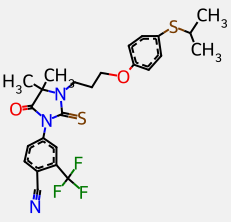 CC(C)Sc1ccc(OCCCN2C(=S)N(c3ccc(C#N)c(C(F)(F)F)c3)C(=O)C2(C)C)cc1